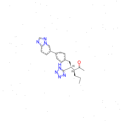 CCC[C@H](C(C)=O)[C@H](Cc1ccc(-c2ccc3ncnn3c2)cc1)c1nnn[nH]1